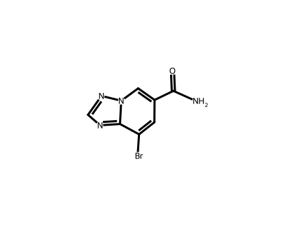 NC(=O)c1cc(Br)c2ncnn2c1